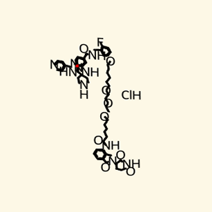 Cl.O=C1CCC(N2Cc3c(NC(=O)CCCCCOCCOCCOCCCCCCOc4ccc(F)c(CNC(=O)c5cccc(NC6(c7nnc(-c8ccncc8)[nH]7)CCNCC6)c5)c4)cccc3C2=O)C(=O)N1